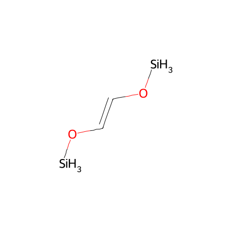 [SiH3]OC=CO[SiH3]